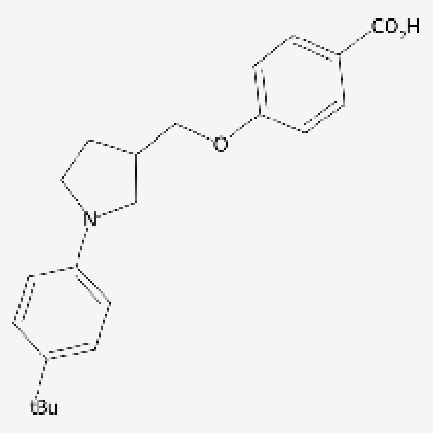 CC(C)(C)c1ccc(N2CCC(COc3ccc(C(=O)O)cc3)C2)cc1